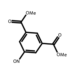 COC(=O)c1cc(N=O)cc(C(=O)OC)c1